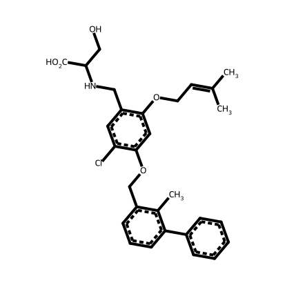 CC(C)=CCOc1cc(OCc2cccc(-c3ccccc3)c2C)c(Cl)cc1CNC(CO)C(=O)O